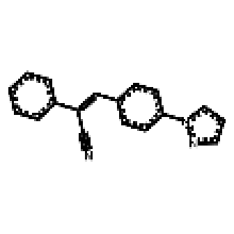 N#C/C(=C\c1ccc(-n2cccn2)cc1)c1ccccc1